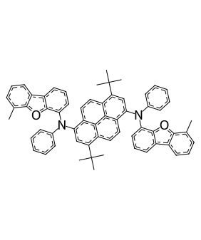 Cc1cccc2c1oc1c(N(c3ccccc3)c3cc(C(C)(C)C)c4ccc5c(N(c6ccccc6)c6cccc7c6oc6c(C)cccc67)cc(C(C)(C)C)c6ccc3c4c56)cccc12